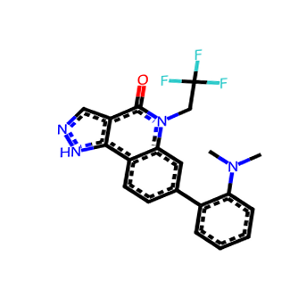 CN(C)c1ccccc1-c1ccc2c3[nH]ncc3c(=O)n(CC(F)(F)F)c2c1